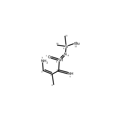 C/C(=C/N)C(=N)[SH](=O)=N[Si](C)(C)C(C)(C)C